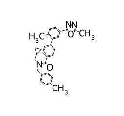 Cc1ccc(CN(CC2CC2)C(=O)c2ccc(-c3cc(-c4nnc(C)o4)ccc3C)cc2)cc1